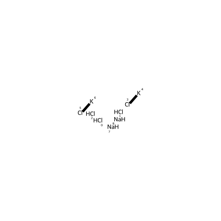 Cl.Cl.Cl.[Cl][K].[Cl][K].[NaH].[NaH]